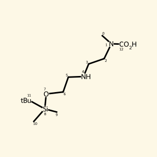 CN(CCNCCO[Si](C)(C)C(C)(C)C)C(=O)O